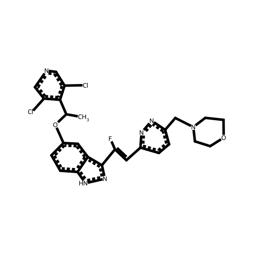 CC(Oc1ccc2[nH]nc(/C(F)=C/c3ccc(CN4CCOCC4)nn3)c2c1)c1c(Cl)cncc1Cl